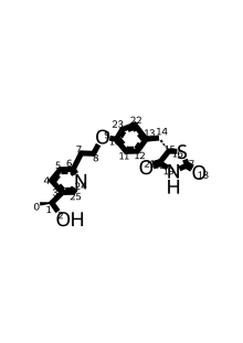 C[C@H](O)c1ccc(CCOc2ccc(C[C@@H]3SC(=O)NC3=O)cc2)nc1